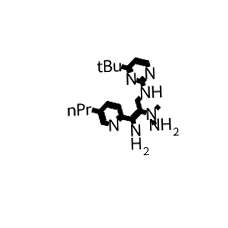 CCCc1ccc(/C(N)=C(\CNc2nccc(C(C)(C)C)n2)N(C)N)nc1